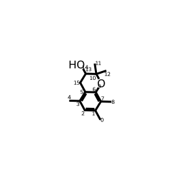 Cc1cc(C)c2c(c1C)OC(C)(C)C(O)C2